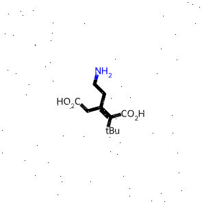 CC(C)(C)C(C(=O)O)=C(CCN)CC(=O)O